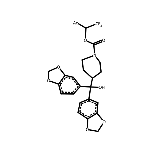 CC(=O)C(OC(=O)N1CCC(C(O)(c2ccc3c(c2)OCO3)c2ccc3c(c2)OCO3)CC1)C(F)(F)F